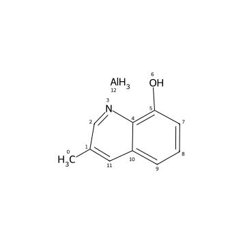 Cc1cnc2c(O)cccc2c1.[AlH3]